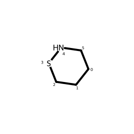 C1CCSNC1